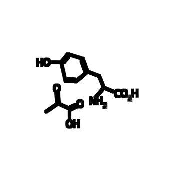 CC(=O)C(=O)O.NC(Cc1ccc(O)cc1)C(=O)O